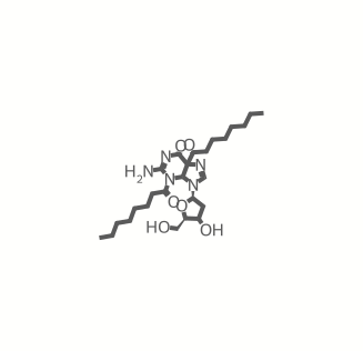 CCCCCCCC(=O)N1C(N)=NC(=O)C2(C(=O)CCCCCCC)N=CN([C@H]3CC(O)[C@@H](CO)O3)C12